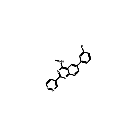 CNc1nc(-c2ccnnc2)nc2ccc(-c3cccc(F)c3)cc12